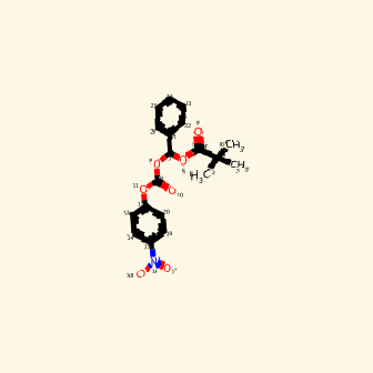 CC(C)(C)C(=O)OC(OC(=O)Oc1ccc([N+](=O)[O-])cc1)c1ccccc1